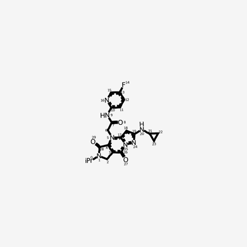 CC(C)N1Cc2c(n(CC(=O)Nc3ccc(F)cn3)c3cc(NC4CC4)nn3c2=O)C1=O